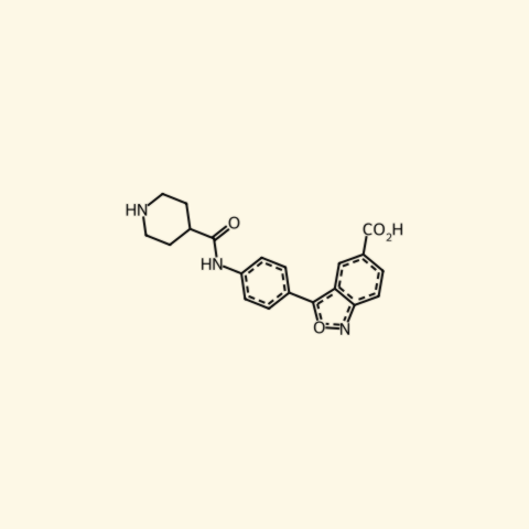 O=C(O)c1ccc2noc(-c3ccc(NC(=O)C4CCNCC4)cc3)c2c1